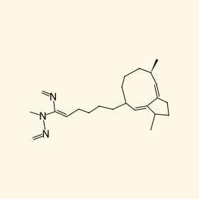 C=N/C(=C\CCCCC1/C=C2\C(=C/[C@H](C)CCC1)CCC2C)N(C)N=C